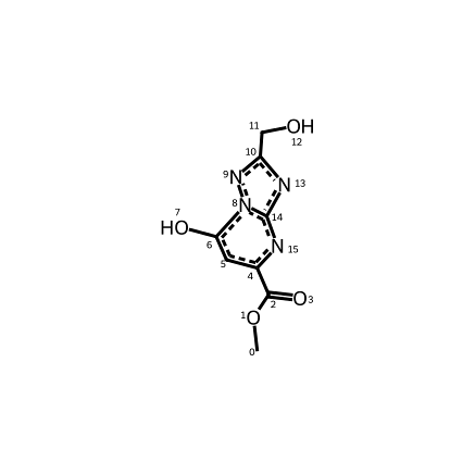 COC(=O)c1cc(O)n2nc(CO)nc2n1